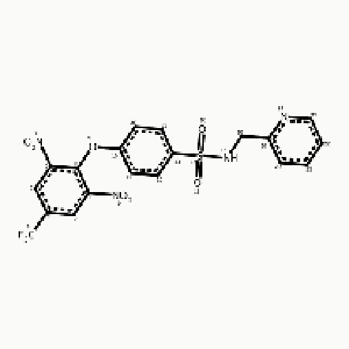 O=[N+]([O-])c1cc(C(F)(F)F)cc([N+](=O)[O-])c1Oc1ccc(S(=O)(=O)NCc2ccccn2)cc1